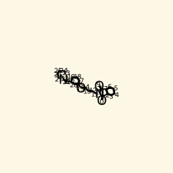 O=C1c2ccccc2C(=O)N1C/C=C/COc1cccc(CN2CCCCC2)c1